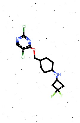 FC1(F)CC(NC2CCC(COc3nc(Cl)ncc3Cl)CC2)C1